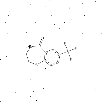 O=C1NCCSc2ccc(C(F)(F)F)cc21